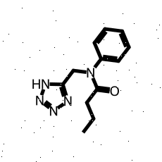 CCCC(=O)N(Cc1nnn[nH]1)c1ccccc1